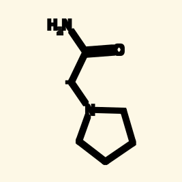 NC(=O)[CH]N1CCCC1